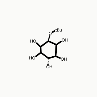 CC(C)(C)O[C@H]1C(O)C(O)[C@H](O)C(O)C1O